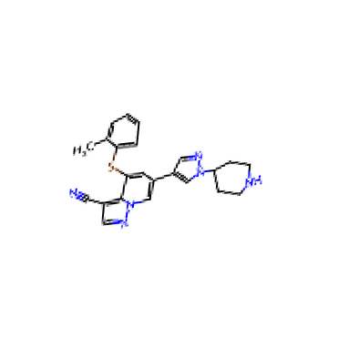 Cc1ccccc1Sc1cc(-c2cnn(C3CCNCC3)c2)cn2ncc(C#N)c12